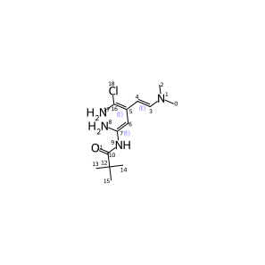 CN(C)/C=C/C(/C=C(\N)NC(=O)C(C)(C)C)=C(/N)Cl